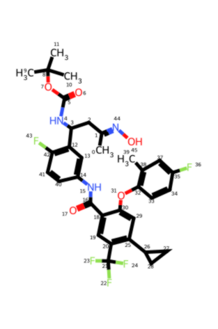 CC(CC(NC(=O)OC(C)(C)C)c1cc(NC(=O)c2cc(C(F)(F)F)c(C3CC3)cc2Oc2ccc(F)cc2C)ccc1F)=NO